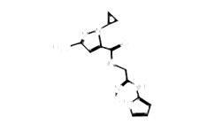 Cc1cc(C(=O)NCC(=NO)Nc2cccs2)n(C2CC2)n1